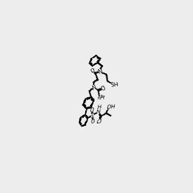 CCCC(=O)N(CCC(=O)N(CCS)Cc1ccccc1)Cc1ccc(-c2ccccc2S(=O)(=O)NC(=O)C(C)O)cc1